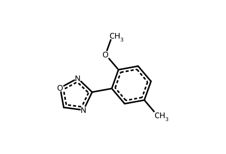 COc1ccc(C)cc1-c1ncon1